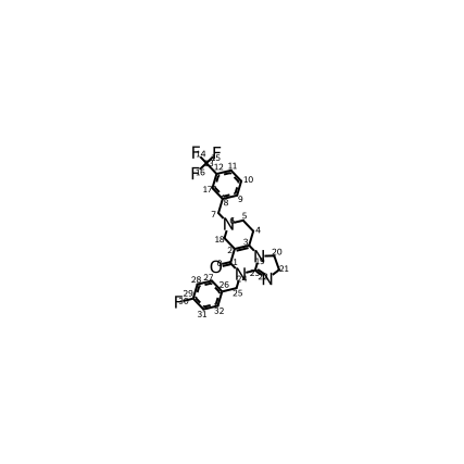 O=C1C2=C(CCN(Cc3cccc(C(F)(F)F)c3)C2)N2CCN=C2N1Cc1ccc(F)cc1